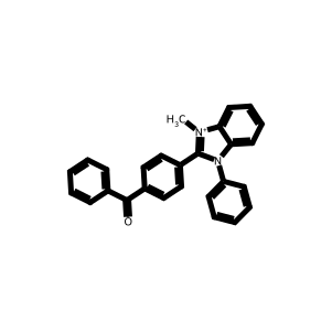 C[n+]1c(-c2ccc(C(=O)c3ccccc3)cc2)n(-c2ccccc2)c2ccccc21